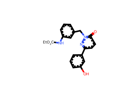 CCOC(=O)Nc1cccc(Cn2nc(-c3cccc(O)c3)ccc2=O)c1